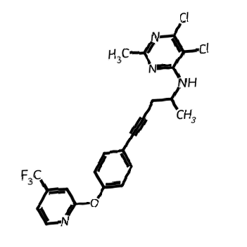 Cc1nc(Cl)c(Cl)c(NC(C)CC#Cc2ccc(Oc3cc(C(F)(F)F)ccn3)cc2)n1